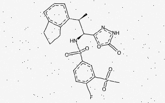 C[C@H](c1cccc2c1CCC2)[C@H](NS(=O)(=O)c1ccc(F)c(S(C)(=O)=O)c1)c1n[nH]c(=O)o1